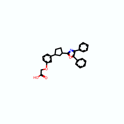 O=C(O)COc1cccc(C2CCC(c3nc(-c4ccccc4)c(-c4ccccc4)o3)C2)c1